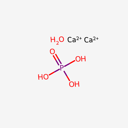 O.O=P(O)(O)O.[Ca+2].[Ca+2]